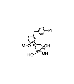 COc1ccc(Cc2ccc(C(C)C)cc2)cc1[C@@H]1C[C@H](CO)[C@@H](O)[C@H](O)C1